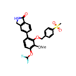 COc1c(OC(F)F)ccc(-c2ccc3c(c2)CNC3=O)c1OCc1ccc(S(C)(=O)=O)cc1